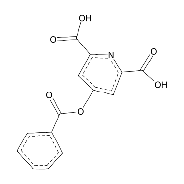 O=C(Oc1cc(C(=O)O)nc(C(=O)O)c1)c1ccccc1